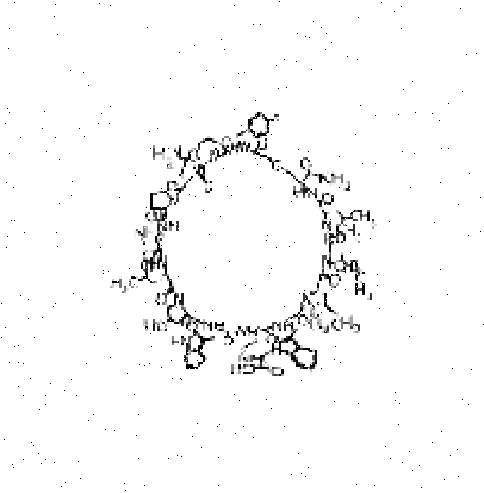 CCCC[C@H]1C(=O)N(C)[C@@H](CCCC)C(=O)N[C@@H](CC(C)C)C(=O)N[C@H](C(N)=O)CCCC(=O)N[C@@H](Cc2ccc(F)cc2)C(=O)N2CCCC[C@@]23C(=O)N3[C@@H](CC(N)=O)C(=O)N2CCC[C@H]2C(=O)N[C@@H](CN)C(=O)N[C@@H](CC(C)C)C(=O)N2C[C@H](O)C[C@H]2C(=O)N[C@@H](Cc2c[nH]c3ccccc23)C(=O)N[C@@H](CCN)C(=O)N[C@@H](Cc2cn(CC(=O)O)c3ccccc23)C(=O)N1C